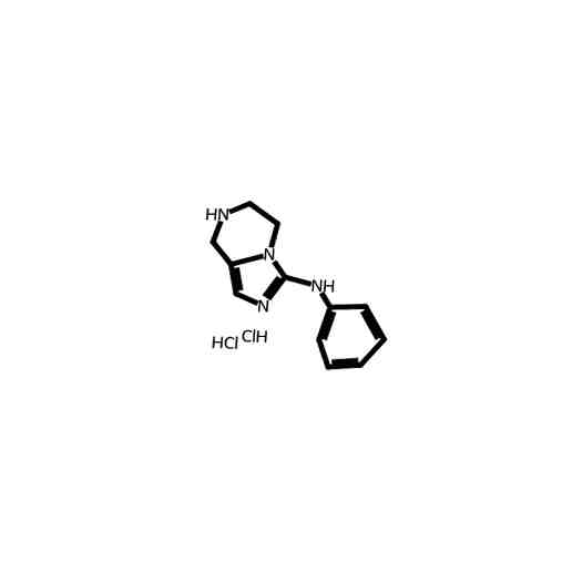 Cl.Cl.c1ccc(Nc2ncc3n2CCNC3)cc1